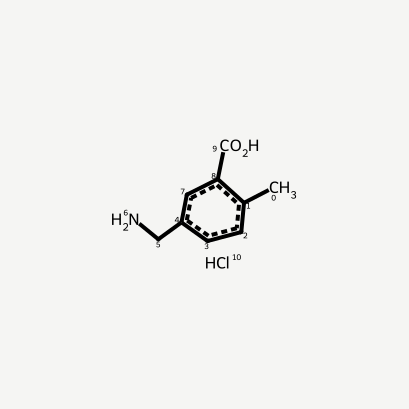 Cc1ccc(CN)cc1C(=O)O.Cl